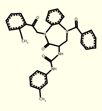 Cc1cccc(NC(=O)NC2CN(C(=O)c3ccccc3)c3ccccc3N(CC(=O)c3ccccc3C)C2=O)c1